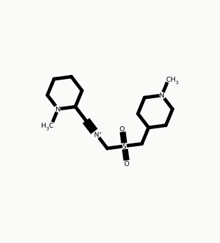 CN1CCC(CS(=O)(=O)C[N+]#CC2CCCCN2C)CC1